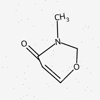 CN1COC=CC1=O